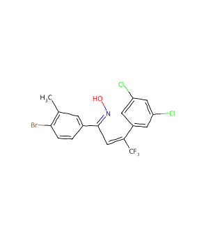 Cc1cc(C(C=C(c2cc(Cl)cc(Cl)c2)C(F)(F)F)=NO)ccc1Br